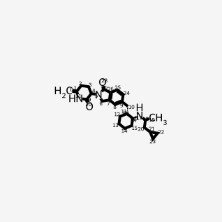 C=C1CCC(N2Cc3cc(C[C@H]4CCCC[C@@H]4NC(C)CC4CC4)ccc3C2=O)C(=O)N1